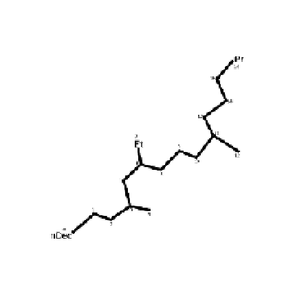 CCCCCCCCCCCCC(C)CC(CC)CCCC(C)CCCC(C)C